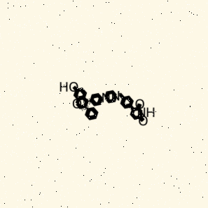 O=C1CCC(c2ccc(CN3CCN(c4ccc([C@@H]5c6ccc(O)cc6OC[C@@H]5c5ccccc5)cc4)CC3)cc2)C(=O)N1